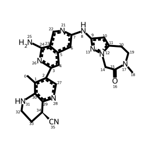 Cc1c(-c2cc3cc(Nc4cc5n(n4)CC(=O)N(C)CC5)ncc3c(N)n2)cnc2c1NCC[C@@H]2C#N